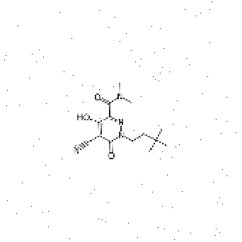 CN(C)C(=O)c1nn(CCC(C)(C)C)c(=O)c(C#N)c1O